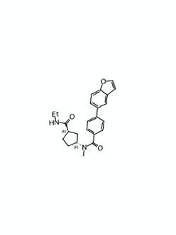 CCNC(=O)[C@@H]1CC[C@@H](N(C)C(=O)c2ccc(-c3ccc4occc4c3)cc2)C1